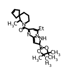 CCC1=CC(C(=O)N2CCCC3(CC=CC3)C2C)=NC2=CC(B3OC(C)(C)C(C)(C)O3)NN12